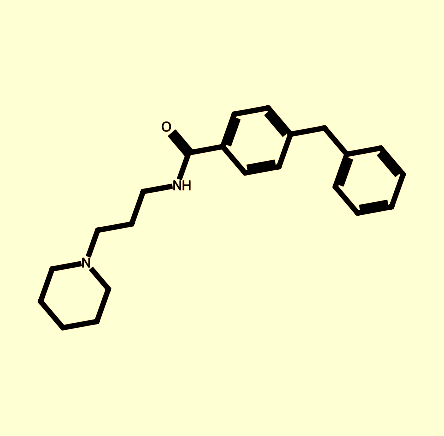 O=C(NCCCN1CCCCC1)c1ccc(Cc2ccccc2)cc1